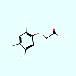 CC(=O)OC(=O)COc1cc(Cl)c(Cl)cc1Cl